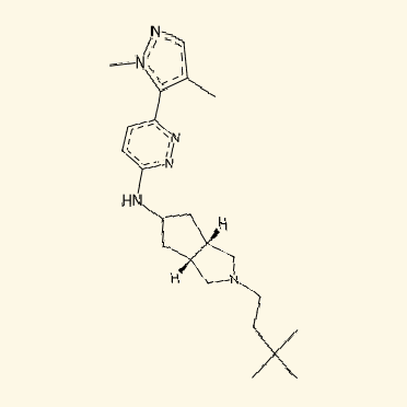 Cc1cnn(C)c1-c1ccc(NC2C[C@@H]3CN(CCC(C)(C)C)C[C@@H]3C2)nn1